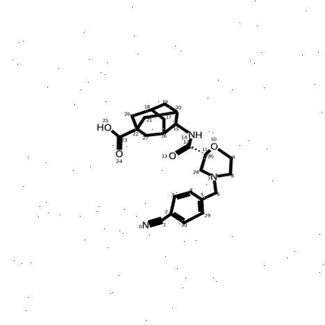 N#Cc1ccc(CN2CCO[C@@H](C(=O)NC3C4CC5CC3CC(C(=O)O)(C5)C4)C2)cc1